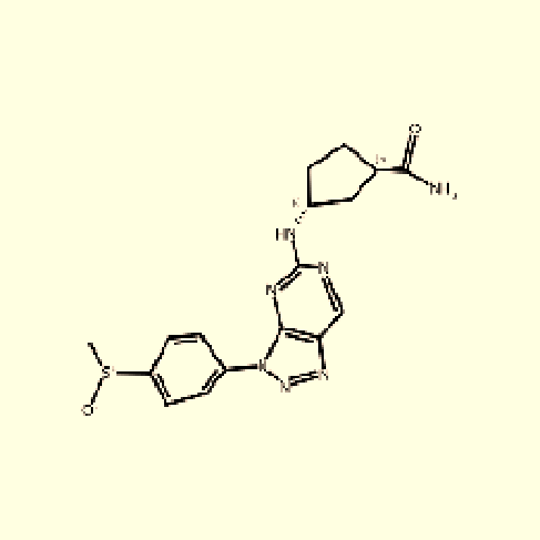 C[S+]([O-])c1ccc(-n2nnc3cnc(N[C@@H]4CC[C@@H](C(N)=O)C4)nc32)cc1